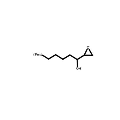 CCCCCCCCCC(O)C1CO1